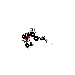 CCOC(=O)CNC1CCCC(c2ccc(OC)c(C(=O)N[C@H]3[C@@H](C(=O)Nc4ccc(F)c(C(F)(F)F)c4)[C@H]4CC[C@@H]3/C4=C\C(F)(F)F)c2)C1